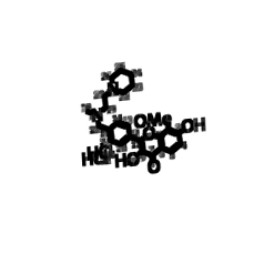 COc1c(O)ccc2c(=O)c(O)c(-c3ccc(CN(C)CCN4CCCCC4)cc3)oc12.Cl.Cl